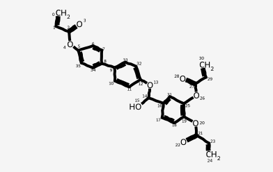 C=CC(=O)Oc1ccc(-c2ccc(OC(O)c3ccc(OC(=O)C=C)c(OC(=O)C=C)c3)cc2)cc1